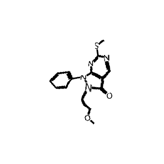 COCCn1c(=O)c2cnc(SC)nc2n1-c1ccccc1